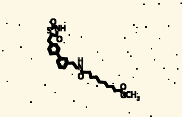 COC(=O)CCCCCCCCC(=O)NCCc1cccc(-c2ccc(CC3SC(=O)NC3=O)cc2)c1